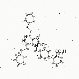 Cc1nc2c(CCc3ccccc3)nnc(CCc3ccccc3)c2n1Cc1ccc(-c2ccccc2C(=O)O)cc1